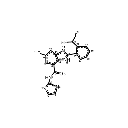 O=C(Nc1nccs1)c1cc(F)cc2nc(-c3ccccc3C(F)F)[nH]c12